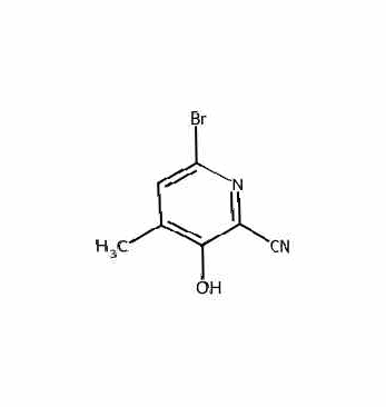 Cc1cc(Br)nc(C#N)c1O